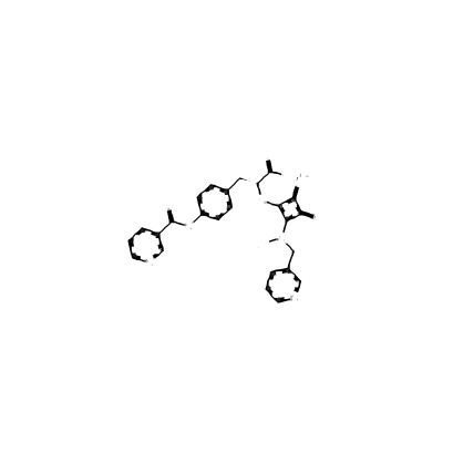 COC(=O)[C@H](Cc1ccc(NC(=O)c2cccnc2)cc1)Nc1c(N(C)Cc2cccnc2)c(=O)c1=O